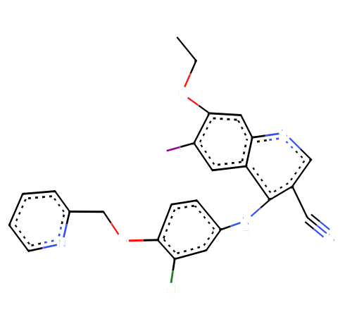 CCOc1cc2ncc(C#N)c(Nc3ccc(OCc4ccccn4)c(Cl)c3)c2cc1I